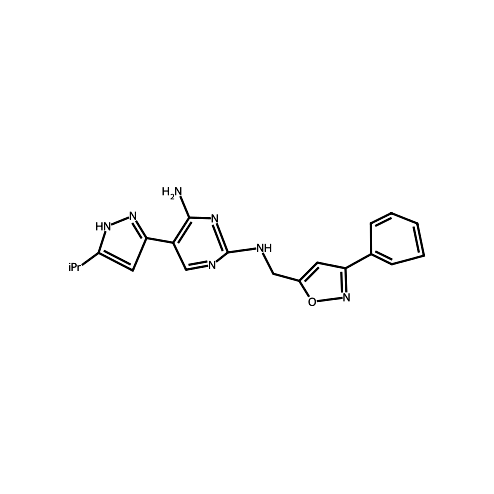 CC(C)c1cc(-c2cnc(NCc3cc(-c4ccccc4)no3)nc2N)n[nH]1